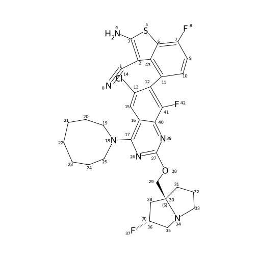 N#Cc1c(N)sc2c(F)ccc(-c3c(Cl)cc4c(N5CCCCCCC5)nc(OC[C@@]56CCCN5C[C@H](F)C6)nc4c3F)c12